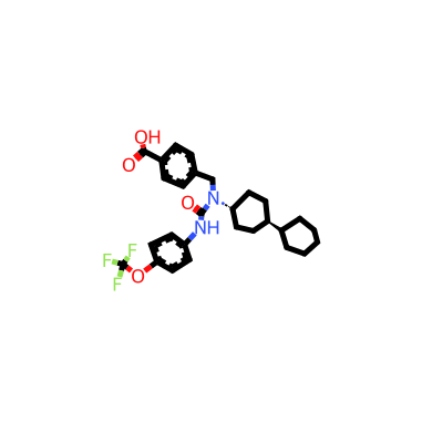 O=C(O)c1ccc(CN(C(=O)Nc2ccc(OC(F)(F)F)cc2)[C@H]2CC[C@H](C3CCCCC3)CC2)cc1